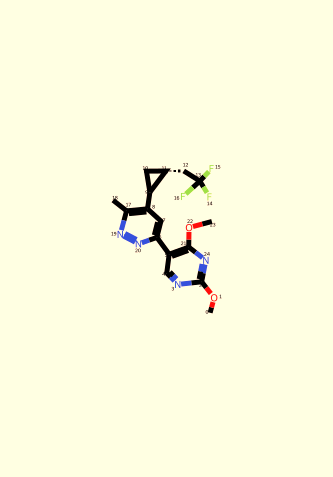 COc1ncc(-c2cc(C3C[C@@H]3CC(F)(F)F)c(C)nn2)c(OC)n1